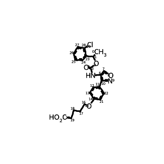 CC(OC(=O)Nc1conc1-c1ccc(OCCCCC(=O)O)cc1)c1ccccc1Cl